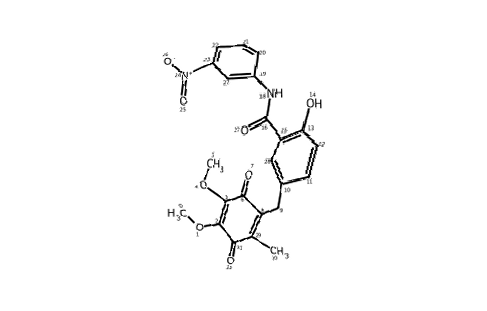 COC1=C(OC)C(=O)C(Cc2ccc(O)c(C(=O)Nc3cccc([N+](=O)[O-])c3)c2)=C(C)C1=O